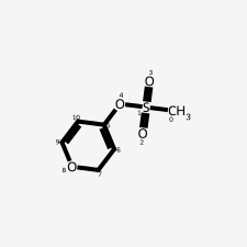 CS(=O)(=O)OC1=CCOC=C1